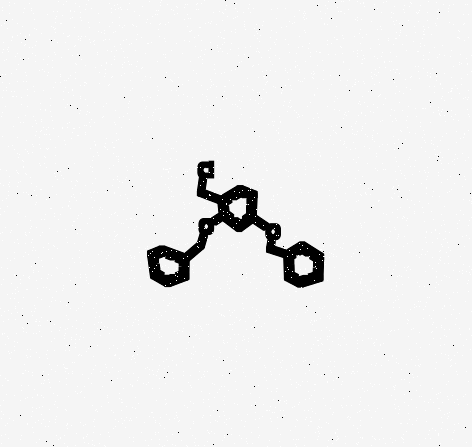 ClCc1ccc(OCc2ccccc2)cc1OCc1ccccc1